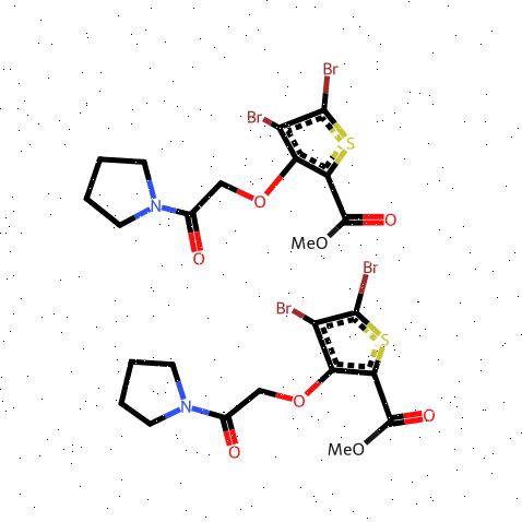 COC(=O)c1sc(Br)c(Br)c1OCC(=O)N1CCCC1.COC(=O)c1sc(Br)c(Br)c1OCC(=O)N1CCCC1